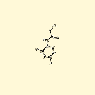 O=C(CCl)Nc1ccc(F)cc1F